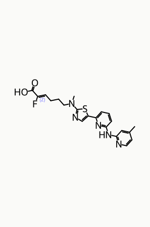 Cc1ccnc(Nc2cccc(-c3cnc(N(C)CCC/C=C(\F)C(=O)O)s3)n2)c1